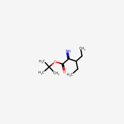 CCC(CC)C(=N)C(=O)OC(C)(C)C